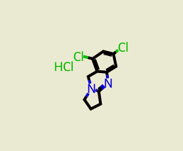 Cl.Clc1cc(Cl)c2c(c1)N=C1CCCN1C2